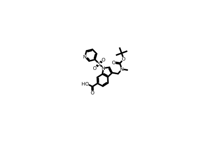 CN(Cc1cn(S(=O)(=O)c2cccnc2)c2cc(C(=O)O)ccc12)C(=O)OC(C)(C)C